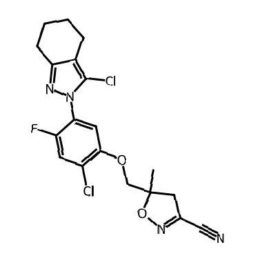 CC1(COc2cc(-n3nc4c(c3Cl)CCCC4)c(F)cc2Cl)CC(C#N)=NO1